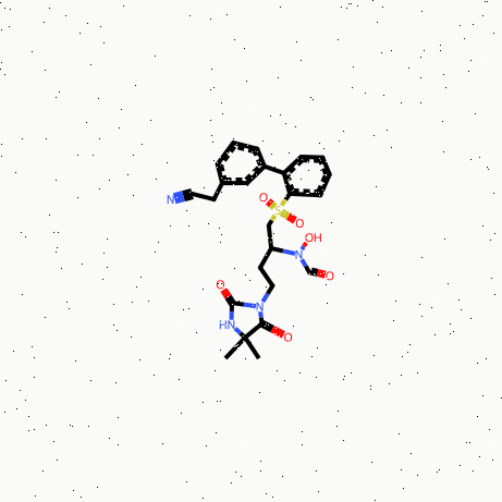 CC1(C)NC(=O)N(CCC(CS(=O)(=O)c2ccccc2-c2cccc(CC#N)c2)N(O)C=O)C1=O